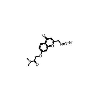 CN(C)C(=O)COc1ccc2c(=O)cc(CN=[N+]=[N-])oc2c1